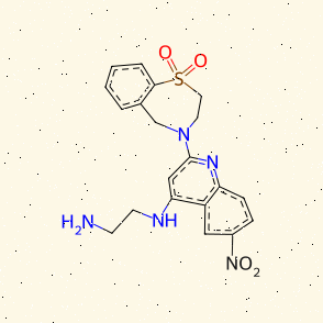 NCCNc1cc(N2CCS(=O)(=O)c3ccccc3C2)nc2ccc([N+](=O)[O-])cc12